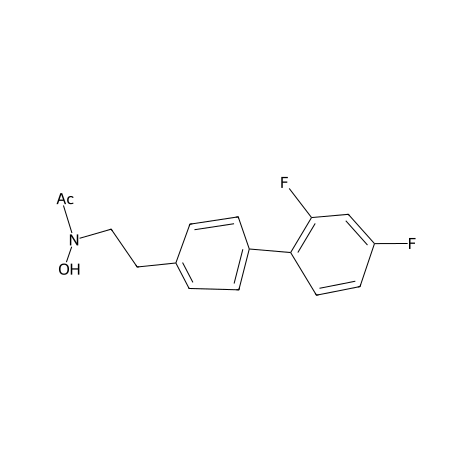 CC(=O)N(O)CCc1ccc(-c2ccc(F)cc2F)cc1